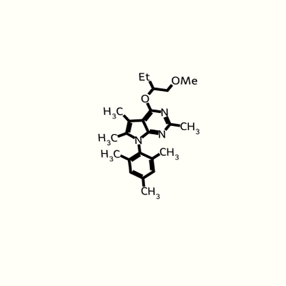 CCC(COC)Oc1nc(C)nc2c1c(C)c(C)n2-c1c(C)cc(C)cc1C